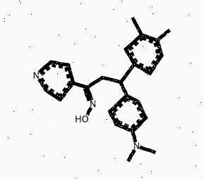 Cc1ccc(C(C/C(=N/O)c2ccncc2)c2ccc(N(C)C)cc2)cc1C